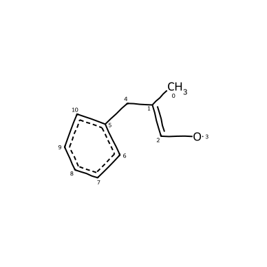 CC(=C[O])Cc1ccccc1